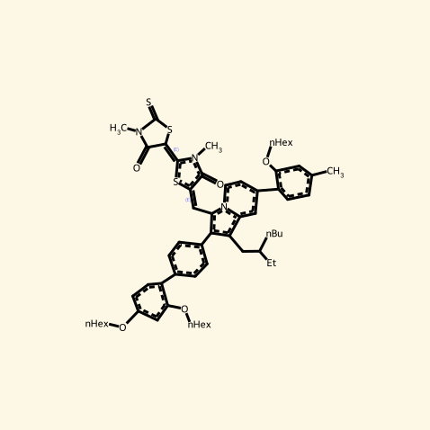 CCCCCCOc1ccc(-c2ccc(-c3c(CC(CC)CCCC)c4cc(-c5ccc(C)cc5OCCCCCC)ccn4c3/C=c3/s/c(=C4/SC(=S)N(C)C4=O)n(C)c3=O)cc2)c(OCCCCCC)c1